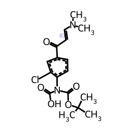 CN(C)/C=C/C(=O)c1ccc(N(C(=O)O)C(=O)OC(C)(C)C)c(Cl)c1